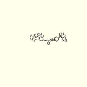 CN(c1ccncc1)c1ccc(CNC(=O)/C=C/c2ccc(C(C)(C)C)cc2)cc1